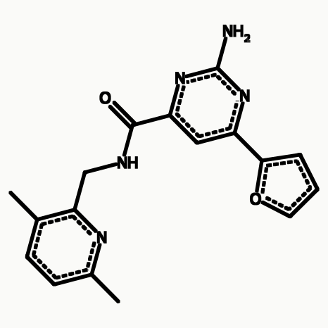 Cc1ccc(C)c(CNC(=O)c2cc(-c3ccco3)nc(N)n2)n1